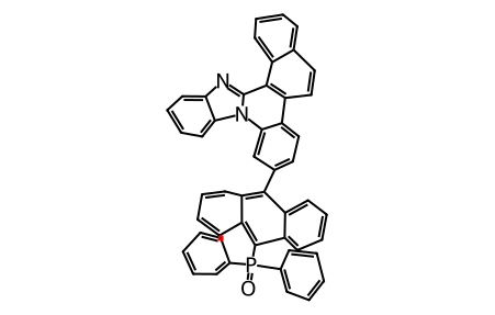 O=P(c1ccccc1)(c1ccccc1)c1c2ccccc2c(-c2ccc3c4ccc5ccccc5c4c4nc5ccccc5n4c3c2)c2ccccc12